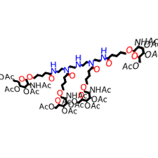 CC(=O)NC1C(OC(C)=O)[C@@H](OC(C)=O)C(COC(C)=O)O[C@H]1OCCCCC(=O)NCCN(CCNCCN(CCNC(=O)CCCCO[C@@H]1OC(COC(C)=O)[C@H](OC(C)=O)C(OC(C)=O)C1NC(C)=O)C(=O)CCCCO[C@@H]1OC(COC(C)=O)[C@H](OC(C)=O)C(OC(C)=O)C1NC(C)=O)C(=O)CCCCO[C@@H]1OC(COC(C)=O)[C@H](OC(C)=O)C(OC(C)=O)C1NC(C)=O